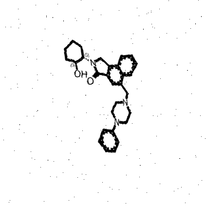 O=C1c2cc(CN3CCN(c4ccccc4)CC3)c3ccccc3c2CN1[C@H]1CCCC[C@@H]1O